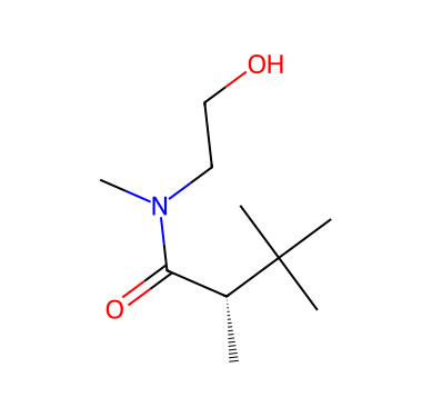 C[C@H](C(=O)N(C)CCO)C(C)(C)C